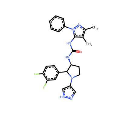 Cc1nn(-c2ccccc2)c(NC(=O)N[C@H]2CCN(c3cn[nH]c3)C2c2ccc(F)c(F)c2)c1C